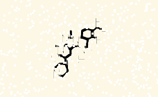 Cc1nc(N[C@H](C)c2cccc(C(F)F)c2F)c2cc(C3(F)CCN(C)CC3)c(=O)n(C)c2n1